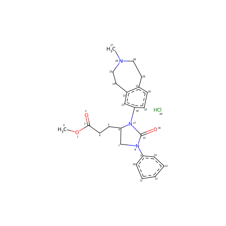 COC(=O)CCC1CN(c2ccccc2)C(=O)N1c1ccc2c(c1)CCN(C)CC2.Cl